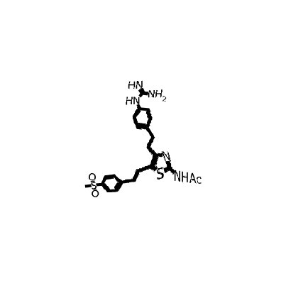 CC(=O)Nc1nc(CCc2ccc(NC(=N)N)cc2)c(CCc2ccc(S(C)(=O)=O)cc2)s1